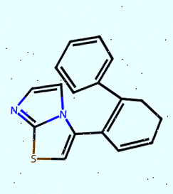 C1=CC(c2csc3nccn23)=C(c2ccccc2)CC1